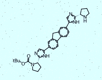 CC(C)(C)OC(=O)N1CCC[C@H]1c1ncc(-c2ccc3c(c2)Cc2cc(-c4cnc([C@@H]5CCCN5)[nH]4)ccc2-3)[nH]1